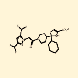 O=C(O)C1=CSC(C2CCCCC2)(C2CCN(C(=O)Cn3nc(C(F)F)cc3C(F)F)CC2)N1